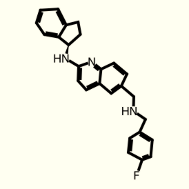 Fc1ccc(CNCc2ccc3nc(N[C@@H]4CCc5ccccc54)ccc3c2)cc1